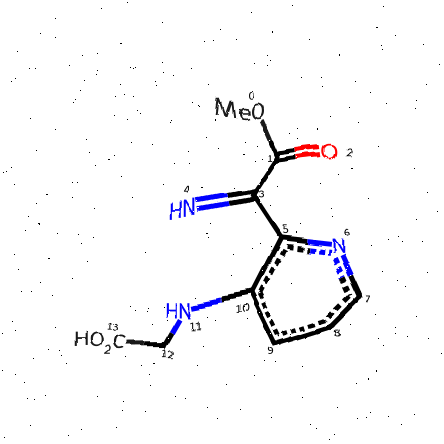 COC(=O)C(=N)c1ncccc1NCC(=O)O